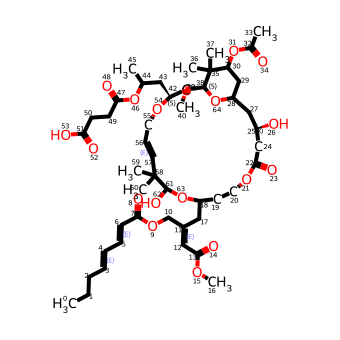 CCC/C=C/C=C/C(=O)OC/C(=C/C(=O)OC)CC1CCOC(=O)C[C@H](O)CC2CC(OC(C)=O)C(C)(C)[C@](OC)(C[C@H](CC(C)OC(=O)CCC(=O)O)OC/C=C/C(C)(C)C(O)O1)O2